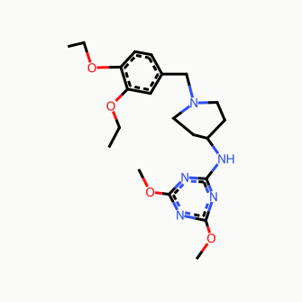 CCOc1ccc(CN2CCC(Nc3nc(OC)nc(OC)n3)CC2)cc1OCC